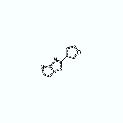 c1cn2sc(-c3ccoc3)nc2n1